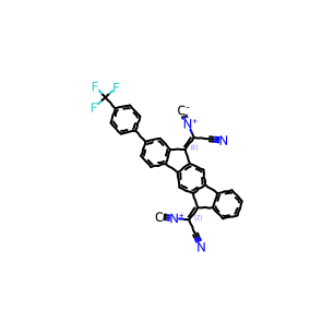 [C-]#[N+]/C(C#N)=C1/c2ccccc2-c2cc3c(cc21)-c1ccc(-c2ccc(C(F)(F)F)cc2)cc1/C3=C(/C#N)[N+]#[C-]